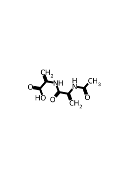 C=C(NC(=O)C(=C)NC(C)=O)C(=O)O